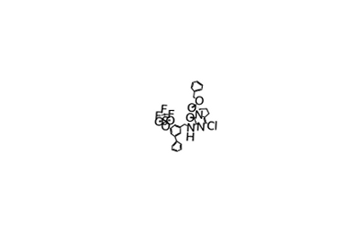 O=C(OCc1ccccc1)[C@@H]1CCc2c(Cl)nc(NCc3cc(OS(=O)(=O)C(F)(F)F)cc(-c4ccccc4)c3)c(=O)n21